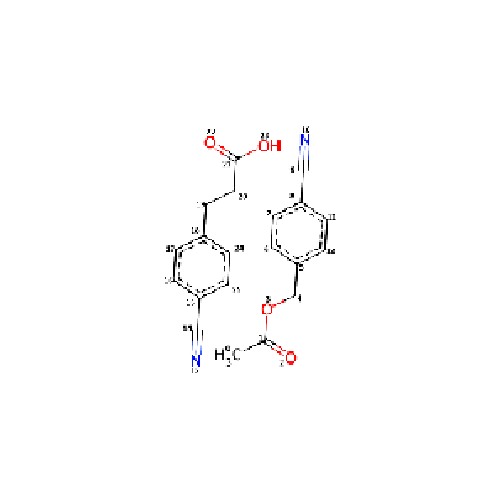 CC(=O)OCc1ccc(C#N)cc1.N#Cc1ccc(CCC(=O)O)cc1